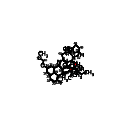 CCS(=O)(=O)c1nc2c3c(nc(-c4cc(OCOC)cc5ccc(F)c(C#C[Si](C(C)C)(C(C)C)C(C)C)c45)c(F)c3n1)C[C@@H](C)[C@H]1[C@@H]3CC[C@@H](C3)CN21